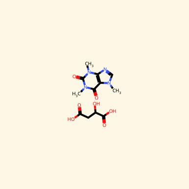 Cn1c(=O)c2c(ncn2C)n(C)c1=O.O=C(O)CC(O)C(=O)O